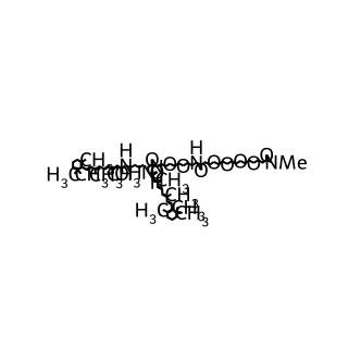 CNC(=O)CCOCCOCCOCCOCCC(=O)NCCOCCOCCNC(=O)[C@@H](CCCCNC(=O)/C=C(C)/C=C/C=C(C)/C=C/C1=C(C)CCCC1(C)C)NC(=O)/C=C(C)/C=C/C=C(C)/C=C/C1=C(C)CCCC1(C)C